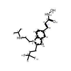 CC(C)NCCn1c(CCC(C)(F)F)nc2cc(/C=C/C(=O)NO)ccc21